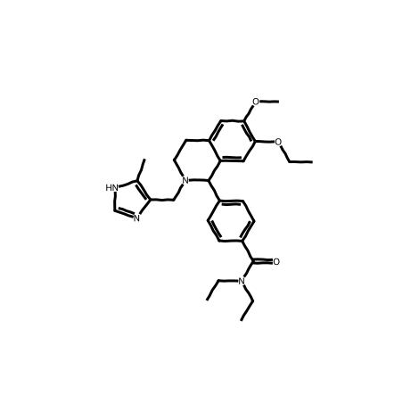 CCOc1cc2c(cc1OC)CCN(Cc1nc[nH]c1C)C2c1ccc(C(=O)N(CC)CC)cc1